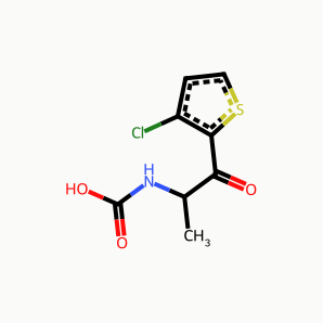 CC(NC(=O)O)C(=O)c1sccc1Cl